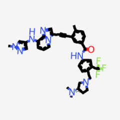 Cc1ccc(C(=O)Nc2ccc(CN3CC[C@H](N(C)C)C3)c(C(F)(F)F)c2)cc1C#Cc1cnc2c(Nc3cnn(C)c3)cccn12